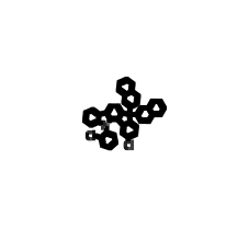 Clc1ccc2c(c1)-c1c(ccc3c4ccccc4n(-c4ccccc4Cl)c13)C2(c1ccc2ccccc2c1)c1ccc2ccccc2c1